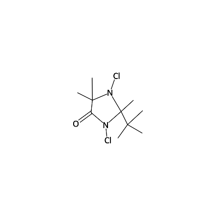 CC1(C)C(=O)N(Cl)C(C)(C(C)(C)C)N1Cl